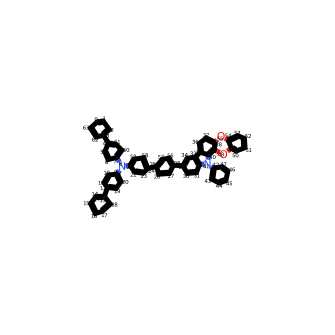 c1ccc(-c2ccc(N(c3ccc(-c4ccccc4)cc3)c3ccc(-c4ccc(-c5ccc6c(c5)c5ccc7c(c5n6-c5ccccc5)Oc5ccccc5O7)cc4)cc3)cc2)cc1